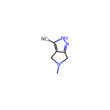 CN1Cc2n[nH]c(C#N)c2C1